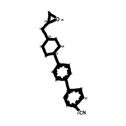 N#Cc1ccc(-c2ccc(C3CCC(CC4CO4)CC3)cc2)cc1